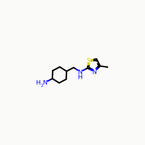 Cc1csc(NCC2CCC(N)CC2)n1